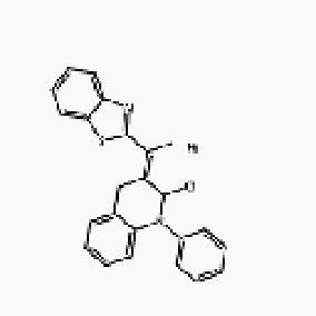 CC(=C1Cc2ccccc2N(c2ccccc2)C1Cl)c1nc2ccccc2s1.I